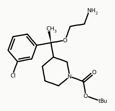 CC(C)(C)OC(=O)N1CCCC([C@@](C)(OCCN)c2cccc(Cl)c2)C1